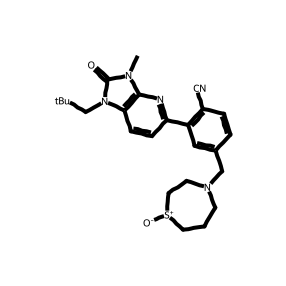 Cn1c(=O)n(CC(C)(C)C)c2ccc(-c3cc(CN4CCC[S+]([O-])CC4)ccc3C#N)nc21